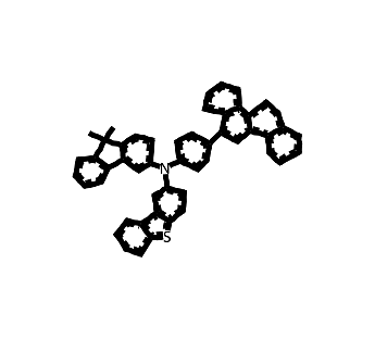 CC1(C)c2ccccc2-c2cc(N(c3ccc(-c4cc5c6ccccc6ccc5c5ccccc45)cc3)c3ccc4sc5ccccc5c4c3)ccc21